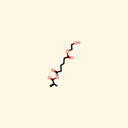 C=C(C)C(=O)OC(=O)CCCCC(=O)OCCO